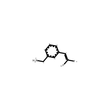 NCc1cccc(C=C(F)F)c1